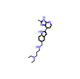 CCN(CC)CCCNCc1ccc2[nH]c(-c3ccnc4[nH]c(C)nc34)cc2c1